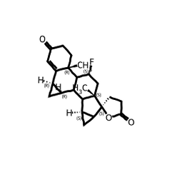 C[C@]12CCC(=O)C=C1[C@@H]1C[C@@H]1C1C2[C@@H](F)C[C@@]2(C)C1[C@@H]1CC1[C@@]21CCC(=O)O1